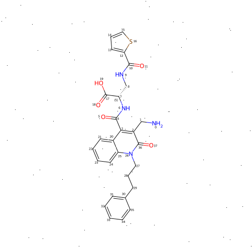 NCc1c(C(=O)N[C@@H](CNC(=O)c2cccs2)C(=O)O)c2ccccc2n(CCCc2ccccc2)c1=O